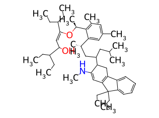 CCC(CC)/C(=C/C(O)C(CC)CC)O[C@@H](C)c1c(C)cc(C)cc1[C@@H](C)CC(CC(C)C)C1CC2=C(C=C1NC)C(CC)(CC)c1ccccc12